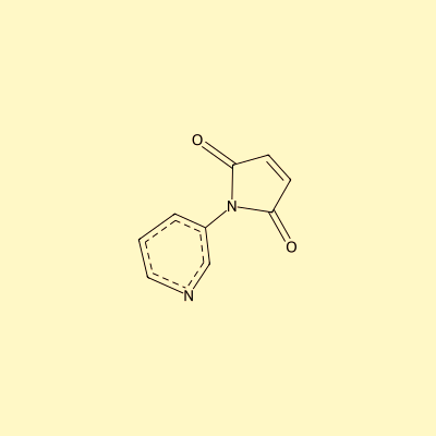 O=C1C=CC(=O)N1c1cccnc1